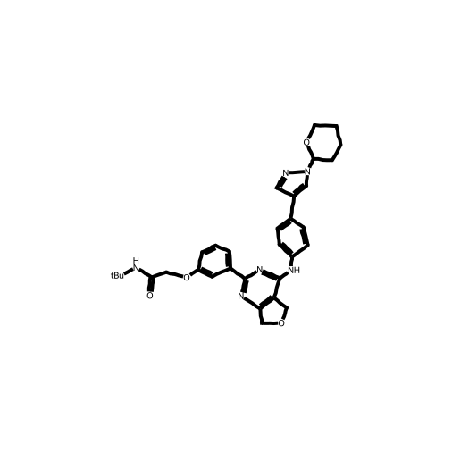 CC(C)(C)NC(=O)COc1cccc(-c2nc3c(c(Nc4ccc(-c5cnn(C6CCCCO6)c5)cc4)n2)COC3)c1